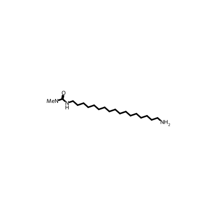 CNC(=O)NCCCCCCCCCCCCCCCCCN